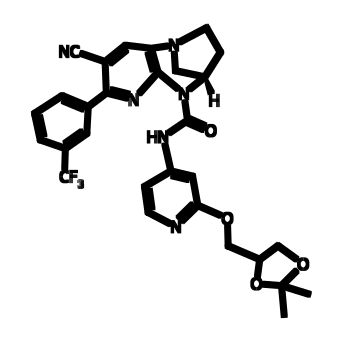 CC1(C)OCC(COc2cc(NC(=O)N3c4nc(-c5cccc(C(F)(F)F)c5)c(C#N)cc4N4CC[C@H]3C4)ccn2)O1